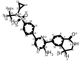 [2H]C1([2H])CNC(=O)c2ccc(-c3nc(-c4ccc(S(=O)(=O)N(C5CC5)C([2H])([2H])[2H])cc4)cnc3N)cc21